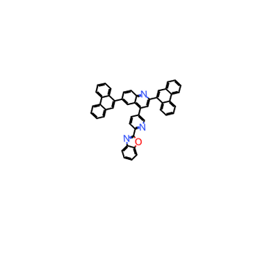 c1ccc2c(c1)cc(-c1ccc3nc(-c4cc5ccccc5c5ccccc45)cc(-c4ccc(-c5nc6ccccc6o5)nc4)c3c1)c1ccccc12